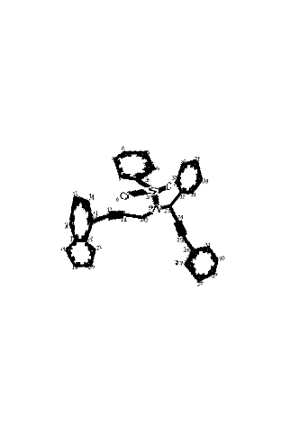 O=S(=O)(c1ccccc1)N(CC#Cc1cccc2ccccc12)C(C#Cc1ccccc1)c1ccccc1